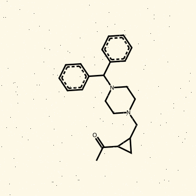 CC(=O)C1CC1CN1CCN(C(c2ccccc2)c2ccccc2)CC1